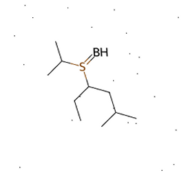 B=S(C(C)C)C(CC)CC(C)C